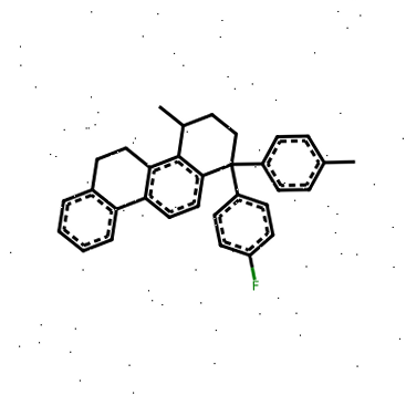 Cc1ccc(C2(c3ccc(F)cc3)CCC(C)c3c2ccc2c3CCc3ccccc3-2)cc1